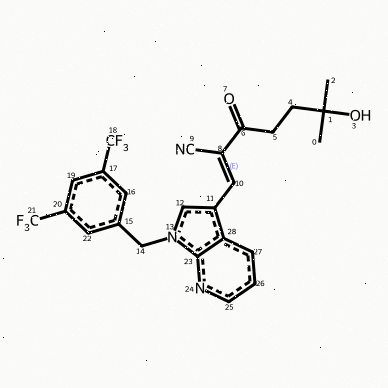 CC(C)(O)CCC(=O)/C(C#N)=C/c1cn(Cc2cc(C(F)(F)F)cc(C(F)(F)F)c2)c2ncccc12